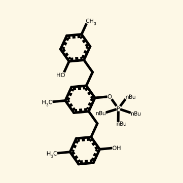 CCCCP(CCCC)(CCCC)(CCCC)Oc1c(Cc2cc(C)ccc2O)cc(C)cc1Cc1cc(C)ccc1O